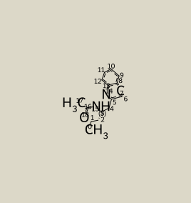 CCC[C@@H](Cc1ccc2ccccc2n1)NC(C)=O